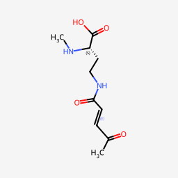 CN[C@@H](CCNC(=O)/C=C/C(C)=O)C(=O)O